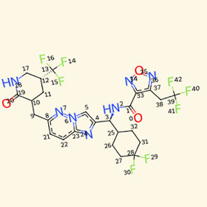 O=C(N[C@H](c1cn2nc(CC3C[C@@H](C(F)(F)F)CNC3=O)ccc2n1)C1CCC(F)(F)CC1)c1nonc1CC(F)(F)F